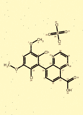 COc1cc(OC)c(Cl)c(-c2ccc(C(=O)O)c3nccnc23)c1Cl.O=S(=O)(Cl)Cl